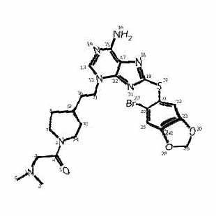 CN(C)CC(=O)N1CCC(CCn2cnc(N)c3nc(Sc4cc5c(cc4Br)OCO5)nc2-3)CC1